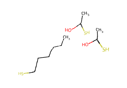 CC(O)S.CC(O)S.CCCCCCS